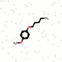 CCCCCOc1ccc(OC)cc1